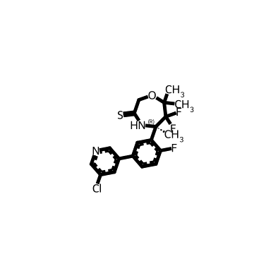 CC1(C)OCC(=S)N[C@](C)(c2cc(-c3cncc(Cl)c3)ccc2F)C1(F)F